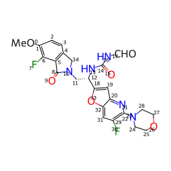 COc1ccc2c(c1F)C(=O)N(C[C@H](NC(=O)NC=O)c1cc3nc(N4CCOCC4)c(F)cc3o1)C2